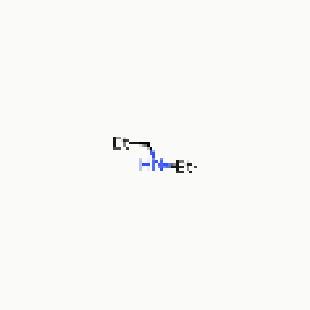 C[CH]NCCC